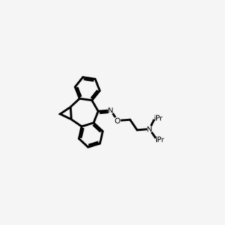 CC(C)N(CCON=C1c2ccccc2C2CC2c2ccccc21)C(C)C